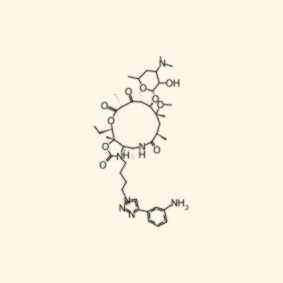 CC[C@H]1OC(=O)[C@H](C)C(=O)[C@H](C)[C@@H](O[C@@H]2OC(C)CC(N(C)C)C2O)[C@](C)(OC)C[C@@H](C)C(=O)N[C@H](C)[C@H]2N(CCCCn3cc(-c4cccc(N)c4)nn3)C(=O)O[C@]12C